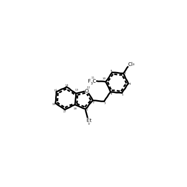 CCc1c(Cc2ccc(Cl)cc2C(F)(F)F)oc2ccccc12